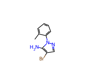 Cc1ccccc1-n1ncc(Br)c1N